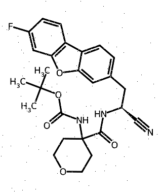 CC(C)(C)OC(=O)NC1(C(=O)N[C@H](C#N)Cc2ccc3c(c2)oc2cc(F)ccc23)CCOCC1